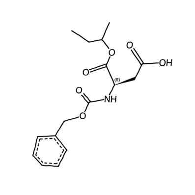 CCC(C)OC(=O)[C@@H](CC(=O)O)NC(=O)OCc1ccccc1